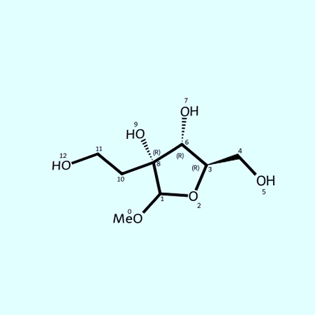 COC1O[C@H](CO)[C@@H](O)[C@]1(O)CCO